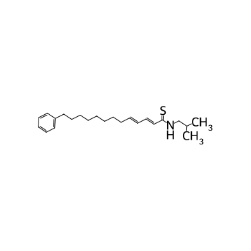 CC(C)CNC(=S)C=CC=CCCCCCCCCc1ccccc1